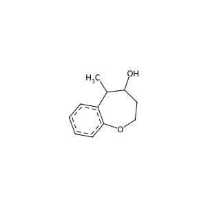 CC1c2ccccc2OCCC1O